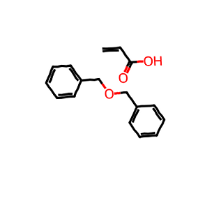 C=CC(=O)O.c1ccc(COCc2ccccc2)cc1